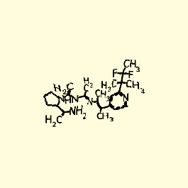 C=C(N)C1CCCN1C(=C)N/C(C)=N/C(C)=C(\C)c1ccnc(C(C)(C)C(C)(F)F)c1